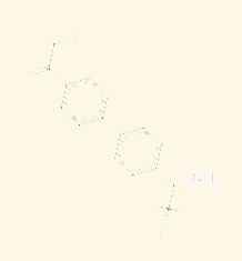 N[C@@H](c1ccc(-c2ccc(C(=O)C(F)F)cc2)cc1)C(F)(F)F